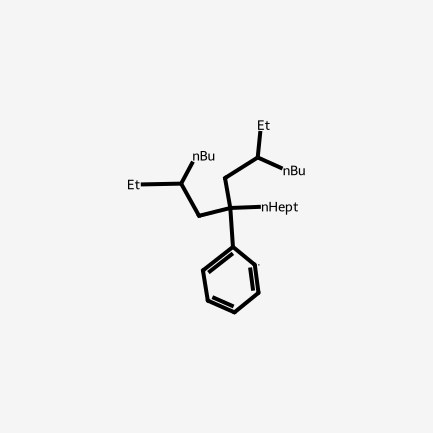 CCCCCCCC(CC(CC)CCCC)(CC(CC)CCCC)c1[c]cccc1